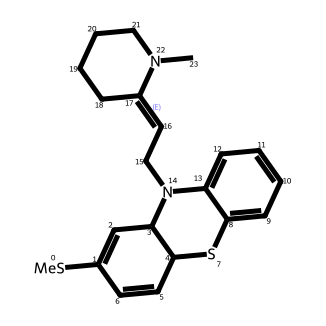 CSC1=CC2C(C=C1)Sc1ccccc1N2C/C=C1\CCCCN1C